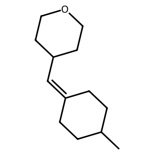 CC1CCC(=CC2CCOCC2)CC1